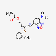 BCC(=O)OCC/C=C(\C=C\c1ccc(N(CC)CC)c2nonc12)Sc1ccccc1C